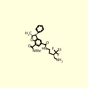 CCC(F)(F)[C@@H](CN)CCNC(=O)c1cc(C(=O)NC)c2c(c1)[C@H](c1ccccc1)[C@@H](C)O2